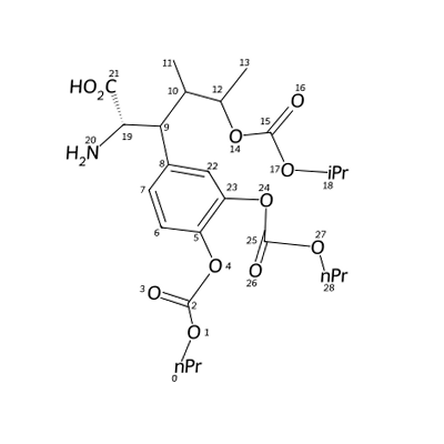 CCCOC(=O)Oc1ccc(C(C(C)C(C)OC(=O)OC(C)C)[C@H](N)C(=O)O)cc1OC(=O)OCCC